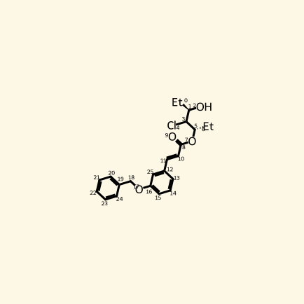 CC[C@@H](O)C(Cl)[C@H](CC)OC(=O)C=Cc1cccc(OCc2ccccc2)c1